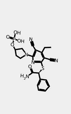 CCc1c(C#N)c(S[C@H](C(N)=O)c2ccccc2)nc(N2CCC(OP(=O)(O)O)C2)c1C#N